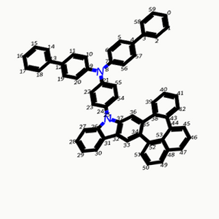 c1ccc(-c2ccc(N(c3ccc(-c4ccccc4)cc3)c3ccc(-n4c5ccccc5c5cc6c(cc54)-c4ccccc4-c4cccc5cccc-6c45)cc3)cc2)cc1